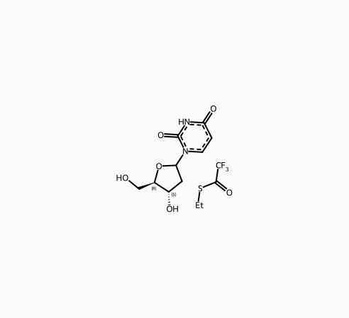 CCSC(=O)C(F)(F)F.O=c1ccn(C2C[C@H](O)[C@@H](CO)O2)c(=O)[nH]1